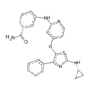 NC(=O)c1cccc(Nc2cc(Oc3sc(NC4CC4)nc3-c3ccccc3)ccn2)c1